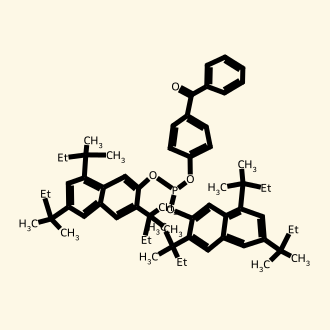 CCC(C)(C)c1cc(C(C)(C)CC)c2cc(OP(Oc3ccc(C(=O)c4ccccc4)cc3)Oc3cc4c(C(C)(C)CC)cc(C(C)(C)CC)cc4cc3C(C)(C)CC)c(C(C)(C)CC)cc2c1